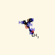 Cc1coc(CNCCC(=O)Nc2sc3c(c2-c2nc4cnccc4s2)CCNC3)n1